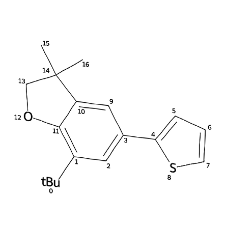 CC(C)(C)c1cc(-c2cccs2)cc2c1OCC2(C)C